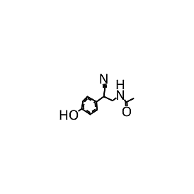 CC(=O)NCC(C#N)c1ccc(O)cc1